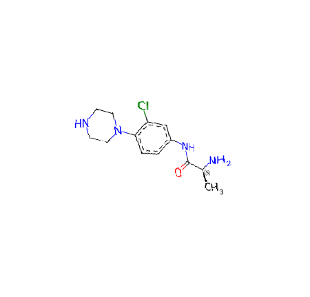 C[C@H](N)C(=O)Nc1ccc(N2CCNCC2)c(Cl)c1